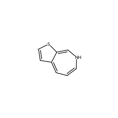 [c]1cc2c(s1)=CNC=CC=2